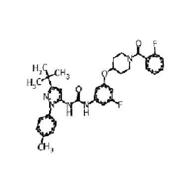 Cc1ccc(-n2nc(C(C)(C)C)cc2NC(=O)Nc2cc(F)cc(OC3CCN(C(=O)c4ccccc4F)CC3)c2)cc1